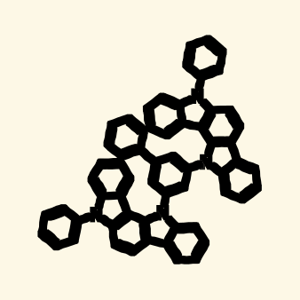 c1ccc(-c2cc(-n3c4ccccc4c4ccc5c(c6ccccc6n5-c5ccccc5)c43)cc(-n3c4ccccc4c4ccc5c(c6ccccc6n5-c5ccccc5)c43)c2)cc1